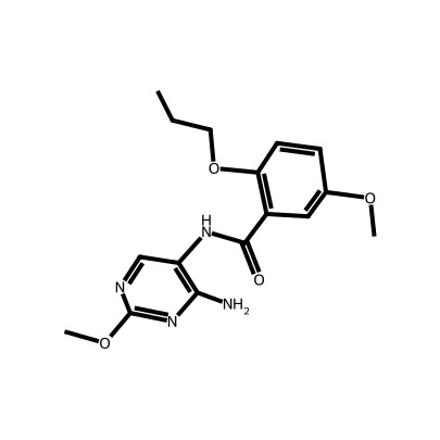 CCCOc1ccc(OC)cc1C(=O)Nc1cnc(OC)nc1N